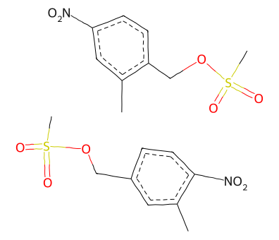 Cc1cc(COS(C)(=O)=O)ccc1[N+](=O)[O-].Cc1cc([N+](=O)[O-])ccc1COS(C)(=O)=O